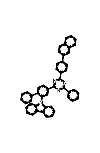 c1ccc(-c2nc(-c3ccc(-c4ccc5ccccc5c4)cc3)nc(-c3ccc(-c4ccccc4)c(-n4c5ccccc5c5ccccc54)c3)n2)cc1